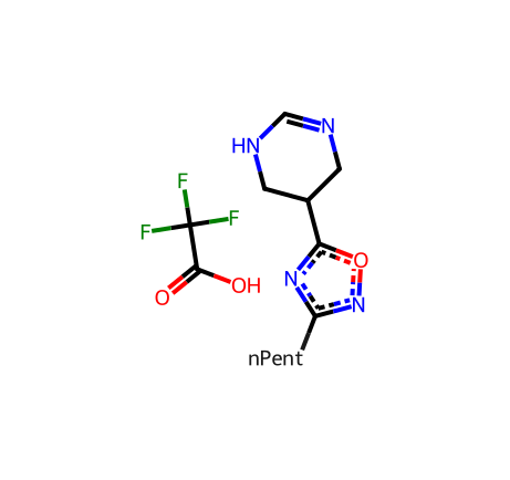 CCCCCc1noc(C2CN=CNC2)n1.O=C(O)C(F)(F)F